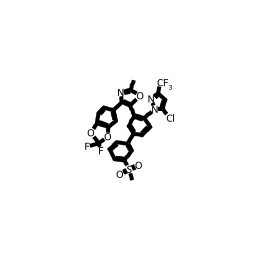 Cc1nc(-c2ccc3c(c2)OC(F)(F)O3)c(-c2cc(-c3cccc(S(C)(=O)=O)c3)ccc2-n2nc(C(F)(F)F)cc2Cl)o1